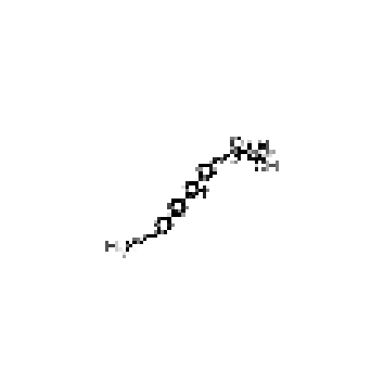 C=C(CC(=O)O)C(=O)OCCCc1ccc(-c2ccc(-c3ccc(C4CCC(CCCCC)CC4)cc3)cc2F)cc1